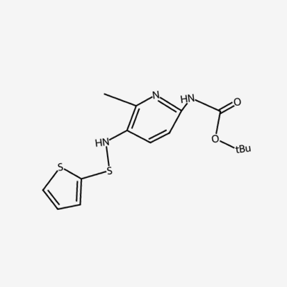 Cc1nc(NC(=O)OC(C)(C)C)ccc1NSc1cccs1